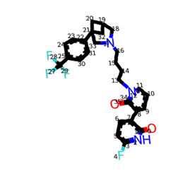 O=c1[nH]c(F)ccc1-c1cccn(CCCCN2CC3CC(c4ccc(C(F)(F)F)cc4)(C3)C2)c1=O